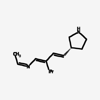 C\C=N/C=C(/C=C/[C@H]1CCNC1)C(C)C